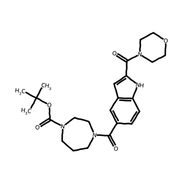 CC(C)(C)OC(=O)N1CCCN(C(=O)c2ccc3[nH]c(C(=O)N4CCOCC4)cc3c2)CC1